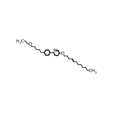 CCCCCCCC=CCCCOc1ccc(-c2ccc(CCCCCOCCC)cc2)nc1